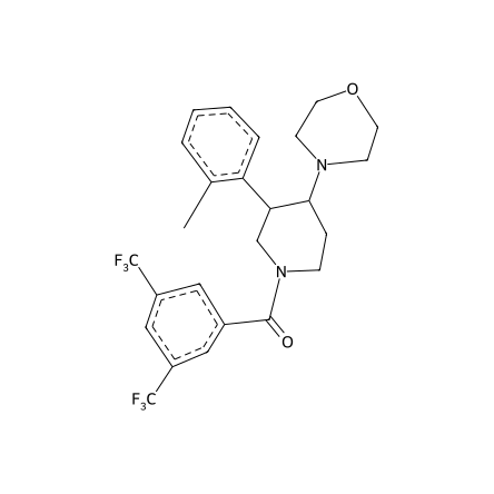 Cc1ccccc1C1CN(C(=O)c2cc(C(F)(F)F)cc(C(F)(F)F)c2)CCC1N1CCOCC1